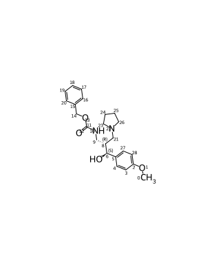 COc1ccc([C@@H](O)[C@H](CNC(=O)OCc2ccccc2)CN2CCCC2)cc1